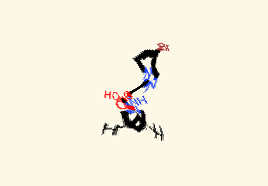 O=C(NCc1ncc2c(Br)cccn12)[C@@H]1[C@@H]2C[C@H]1CN(C(=O)O)C2